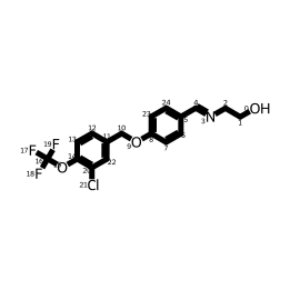 OCCN=Cc1ccc(OCc2ccc(OC(F)(F)F)c(Cl)c2)cc1